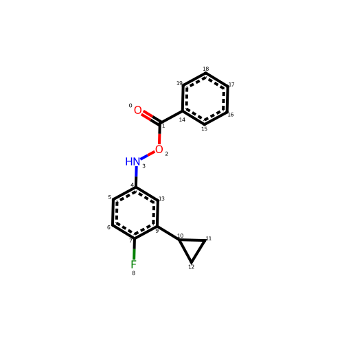 O=C(ONc1ccc(F)c(C2CC2)c1)c1ccccc1